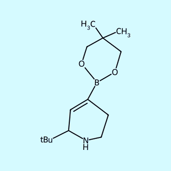 CC1(C)COB(C2=CC(C(C)(C)C)NCC2)OC1